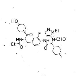 CCC(=O)N[C@@H](C(=O)N1CCC(O)CC1)[C@@H](C)c1ccc(NC(=O)[C@H](C2CCC(C)CC2)N(C=O)c2ccnn2CC)c(F)c1